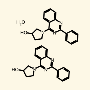 O.OC1CCN(c2nc(-c3ccccc3)nc3ccccc23)C1.OC1CCN(c2nc(-c3ccccc3)nc3ccccc23)C1